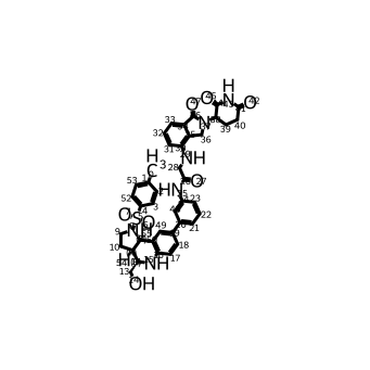 Cc1ccc(S(=O)(=O)N2CC[C@@H]3[C@H](CO)Nc4ccc(-c5cccc(NC(=O)CNc6cccc7c6CN(C6CCC(=O)NC6=O)C7=O)c5)cc4[C@@H]32)cc1